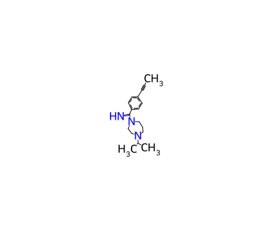 CC#Cc1ccc(C(=N)N2CCCN(C(C)C)CC2)cc1